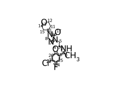 C[C@H](NC(=O)Cn1ncn(C2CCOCC2)c1=O)c1ccc(Cl)c(F)c1